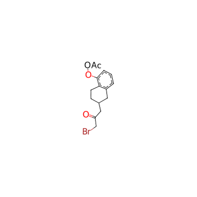 CC(=O)OOc1cccc2c1CCC(CC(=O)CBr)C2